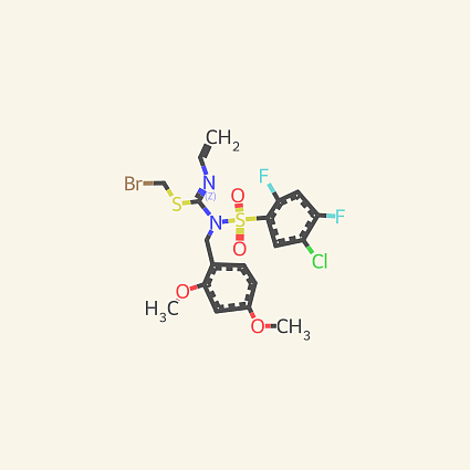 C=C/N=C(\SCBr)N(Cc1ccc(OC)cc1OC)S(=O)(=O)c1cc(Cl)c(F)cc1F